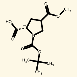 COC(=O)C1C[C@@H](C(=O)O)N(C(=O)OC(C)(C)C)C1